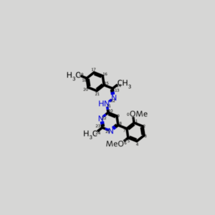 COc1cccc(OC)c1-c1cc(N/N=C(/C)c2ccc(C)cc2)nc(C)n1